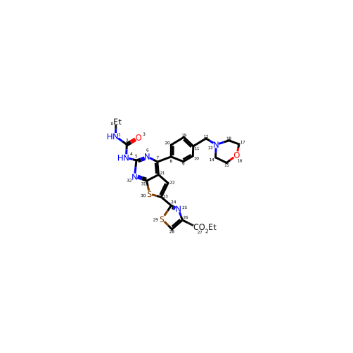 CCNC(=O)Nc1nc(-c2ccc(CN3CCOCC3)cc2)c2cc(-c3nc(C(=O)OCC)cs3)sc2n1